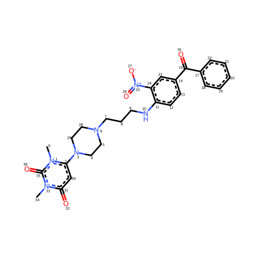 Cn1c(N2CCN(CCCNc3ccc(C(=O)c4ccccc4)cc3[N+](=O)[O-])CC2)cc(=O)n(C)c1=O